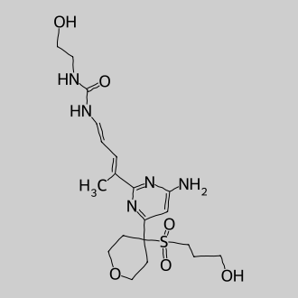 C/C(=C\C=C\NC(=O)NCCO)c1nc(N)cc(C2(S(=O)(=O)CCCO)CCOCC2)n1